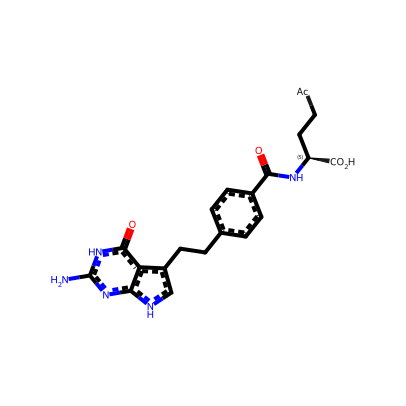 CC(=O)CC[C@H](NC(=O)c1ccc(CCc2c[nH]c3nc(N)[nH]c(=O)c23)cc1)C(=O)O